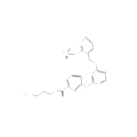 CCS(=O)(=O)Nc1ncccc1CNc1nc(Nc2cccc(C(=O)NCCCOC)c2)ncc1C(F)(F)F